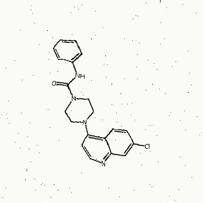 O=C(Nc1ccccc1)N1CCN(c2ccnc3cc(Cl)ccc23)CC1